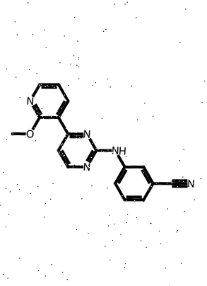 COc1ncccc1-c1ccnc(Nc2cccc(C#N)c2)n1